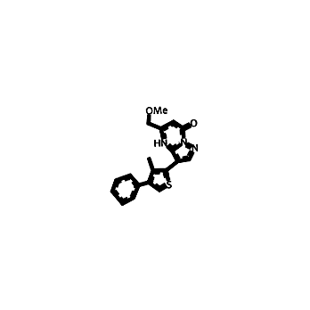 COCc1cc(=O)n2ncc(-c3scc(-c4ccccc4)c3C)c2[nH]1